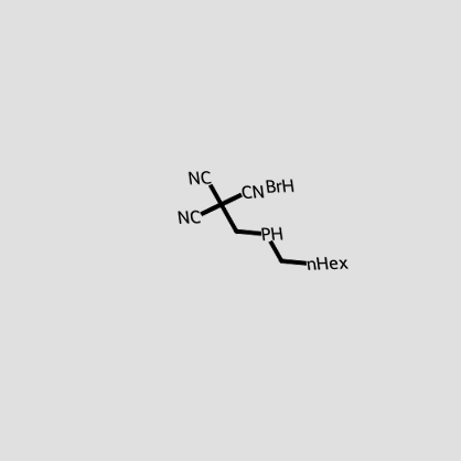 Br.CCCCCCCPCC(C#N)(C#N)C#N